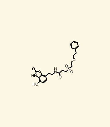 O=C(CCS(=O)(=O)CCOCCc1ccccc1)NCCc1ccc(O)c2[nH]c(=O)sc12